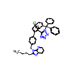 CCCCc1nc2cccnc2n1Cc1ccc(-c2cc(Cl)sc2-c2nnnn2C(c2ccccc2)(c2ccccc2)c2ccccc2)cc1